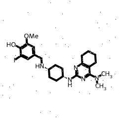 COc1cc(CN[C@H]2CC[C@@H](Nc3nc4c(c(N(C)C)n3)CCCC4)CC2)cc(I)c1O